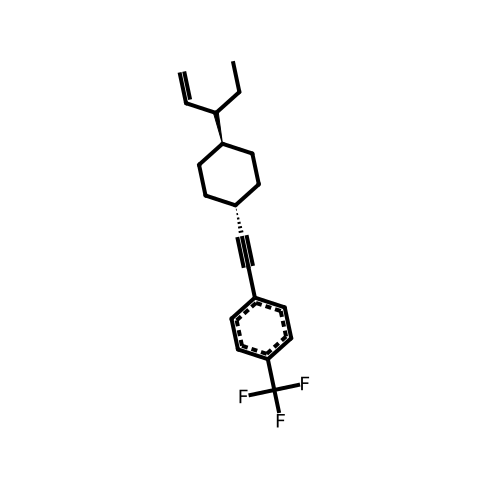 C=CC(CC)[C@H]1CC[C@H](C#Cc2ccc(C(F)(F)F)cc2)CC1